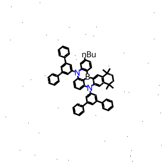 CCCCc1ccc2c(c1)N(c1cc(-c3ccccc3)cc(-c3ccccc3)c1)c1cccc3c1B2c1cc2c(cc1N3c1cc(-c3ccccc3)cc(-c3ccccc3)c1)C(C)(C)CCC2(C)C